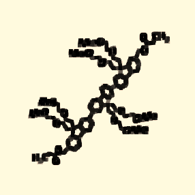 C=CC(=O)OCc1ccc2c(c1)C(CCOCCOC)(CCOCCOC)c1cc(-c3ccc4c(c3)C(CCOCCOC)(CCOCCOC)c3cc(-c5ccc6c(c5)C(CCOCCOC)(CCOCCOC)c5cc(COC(=O)C=C)ccc5-6)ccc3-4)ccc1-2